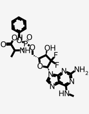 CNc1nc(N)nc2c1ncn2[C@@H]1O[C@H](CO[P@@](=O)(NC(C)C(=O)O)Oc2ccccc2)[C@@H](O)C1(F)F